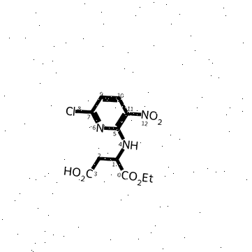 CCOC(=O)C(CC(=O)O)Nc1nc(Cl)ccc1[N+](=O)[O-]